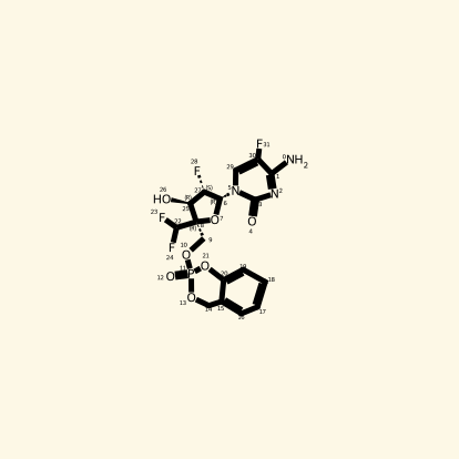 Nc1nc(=O)n([C@@H]2O[C@@](COP3(=O)OCc4ccccc4O3)(C(F)F)[C@@H](O)[C@@H]2F)cc1F